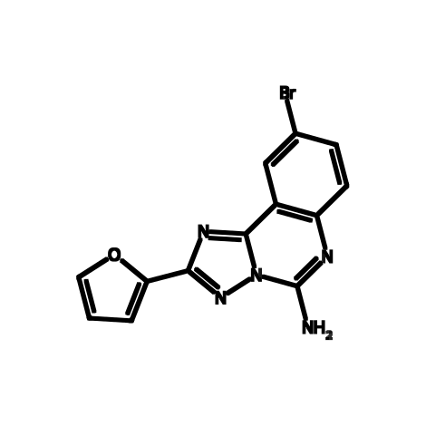 Nc1nc2ccc(Br)cc2c2nc(-c3ccco3)nn12